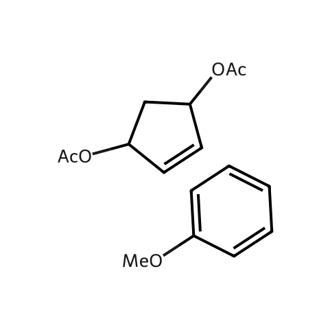 CC(=O)OC1C=CC(OC(C)=O)C1.COc1ccccc1